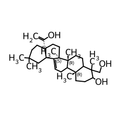 C=C(O)[C@@]12CCC(C)(C)CC1C1=CCC3[C@@]4(C)CCC(O)C(C)(CO)C4CC[C@@]3(C)[C@]1(C)CC2